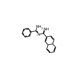 N=C(/N=C(\N)c1ccccc1)C1=CC2C=CC=CC2C=C1